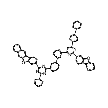 c1ccc(-c2ccc(-c3cc(-c4cccc(-c5cccc(-c6nc(-c7ccccc7)nc(-c7ccc8c(c7)oc7cc9ccccc9cc78)n6)c5)c4)nc(-c4ccc5c(c4)oc4ccccc45)n3)cc2)cc1